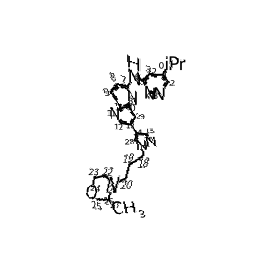 CC(C)c1cnnc(Nc2ccc3ncc(-c4cnn(CCCN5CCOC[C@H]5C)c4)cc3n2)c1